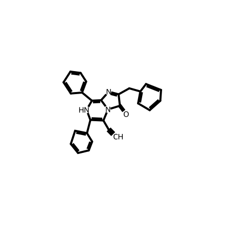 C#Cc1c(-c2ccccc2)[nH]c(-c2ccccc2)c2nc(Cc3ccccc3)c(=O)n1-2